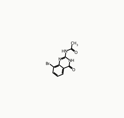 CC(=O)Nc1nc2c(Br)cccc2c(=O)[nH]1